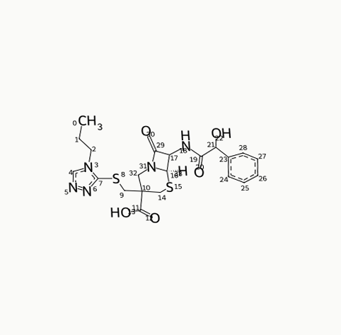 CCCn1cnnc1SCC1(C(=O)O)CS[C@@H]2C(NC(=O)C(O)c3ccccc3)C(=O)N2C1